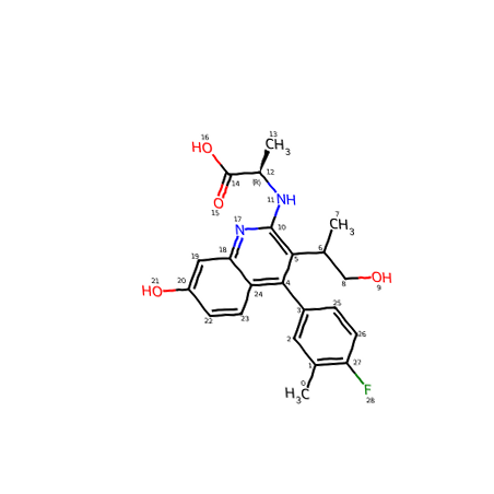 Cc1cc(-c2c(C(C)CO)c(N[C@H](C)C(=O)O)nc3cc(O)ccc23)ccc1F